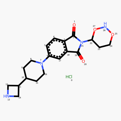 Cl.O=C1c2ccc(N3CCC(C4CNC4)CC3)cc2C(=O)N1C1CCONO1